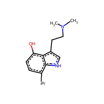 CC(C)c1ccc(O)c2c(CCN(C)C)c[nH]c12